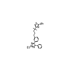 CCn1nc(-c2ccccc2)c(-c2cccc(CCCC(C)(C)c3csc(C(C)C)n3)c2)n1